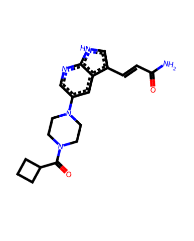 NC(=O)C=Cc1c[nH]c2ncc(N3CCN(C(=O)C4CCC4)CC3)cc12